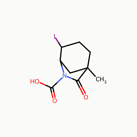 CC12CCC(I)C(C1)N(C(=O)O)C2=O